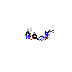 CC(=O)c1ccn(C(=O)N2CCN(Cc3cccc(Oc4cc(C(F)(F)F)ccn4)c3)C[C@@H]2C)n1